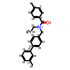 Cc1ccc(C(=O)N(Cc2ccc(-c3cccc(C)c3)cc2)CC(C)C)cc1